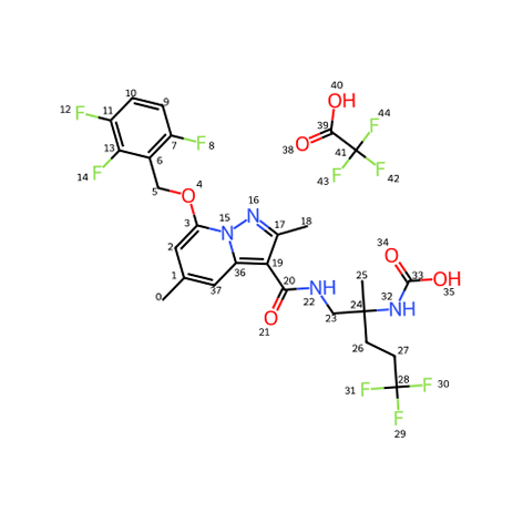 Cc1cc(OCc2c(F)ccc(F)c2F)n2nc(C)c(C(=O)NCC(C)(CCC(F)(F)F)NC(=O)O)c2c1.O=C(O)C(F)(F)F